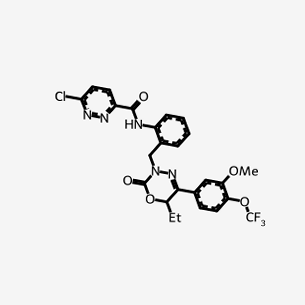 CCC1OC(=O)N(Cc2ccccc2NC(=O)c2ccc(Cl)nn2)N=C1c1ccc(OC(F)(F)F)c(OC)c1